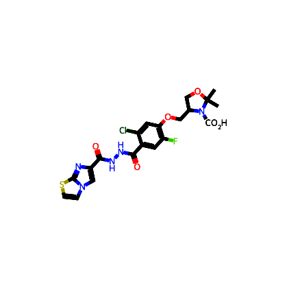 CC1(C)OCC(COc2cc(Cl)c(C(=O)NNC(=O)c3cn4ccsc4n3)cc2F)N1C(=O)O